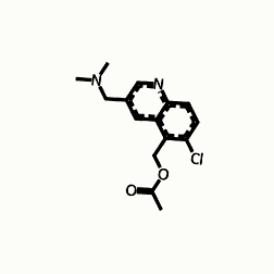 CC(=O)OCc1c(Cl)ccc2ncc(CN(C)C)cc12